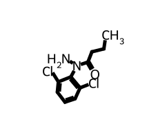 CCCC(=O)N(N)c1c(Cl)cccc1Cl